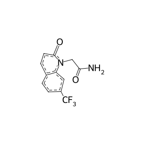 NC(=O)Cn1c(=O)ccc2ccc(C(F)(F)F)cc21